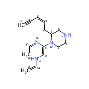 C#C/C=C\CC1CNCCN1C(=C/NC=C)/N=C\C